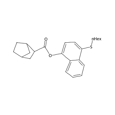 CCCCCCSc1ccc(OC(=O)C2CC3CCC2C3)c2ccccc12